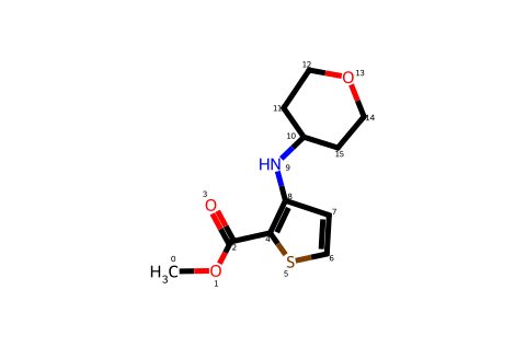 COC(=O)c1sccc1NC1CCOCC1